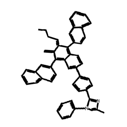 C=c1c(-c2ccc3ccccc3c2)c2cc(-c3ccc(-c4nc(C)cn4-c4ccccc4)cc3)ccc2c(-c2ccc3ccccc3c2)/c1=C/CCC